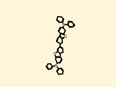 C1=CCCC(N(C2=CCCC=C2)C2C=CC3=C(C2)OC2=CC(C4C=Cc5c(oc6c5C=CC(N(C5=CCCC=C5)c5ccccc5)C6)C4)=CCC23)=C1